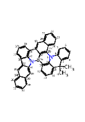 CC1(C)c2ccccc2N2c3c(cccc31)B1c3c(cc4ccccc4c32)-c2cccc3c4cc5ccccc5cc4n1c23